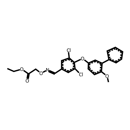 CCOC(=O)CON=Cc1cc(Cl)c(Oc2ccc(OC)c(-c3ccccc3)c2)c(Cl)c1